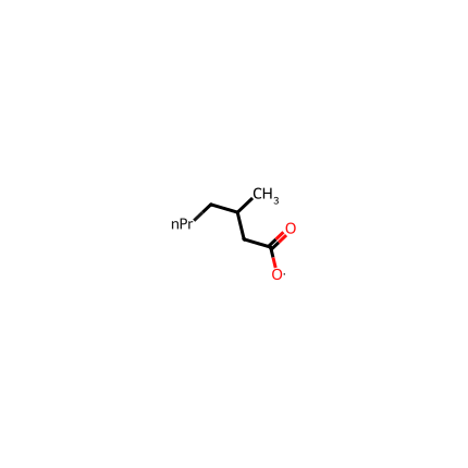 CCCCC(C)CC([O])=O